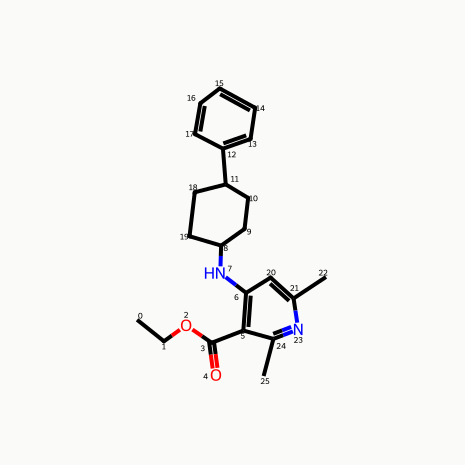 CCOC(=O)c1c(NC2CCC(c3ccccc3)CC2)cc(C)nc1C